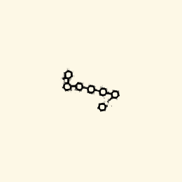 c1ccc2c(c1)nc1c3ccccc3c3ccc(-c4ccc(-c5ccc6c(c5)oc5ccc7oc8ccccc8c7c56)cc4)cc3n21